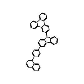 c1ccc2c(-c3ccc(-c4ccc5c(c4)c4ccccc4n5-c4ccc5c6ccccc6c6ccccc6c5c4)cc3)cccc2c1